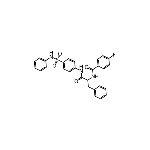 O=C(NC(Cc1ccccc1)C(=O)Nc1ccc(S(=O)(=O)Nc2ccccc2)cc1)c1ccc(F)cc1